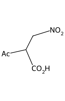 CC(=O)C(C[N+](=O)[O-])C(=O)O